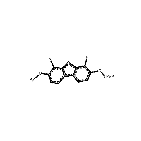 CCCCCOc1ccc2c(oc3c(F)c(OC(F)(F)F)ccc32)c1F